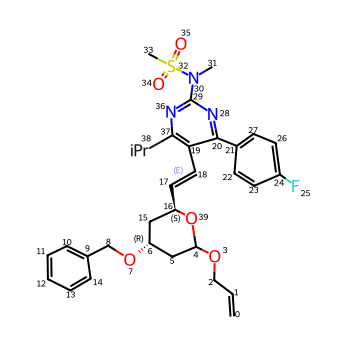 C=CCOC1C[C@H](OCc2ccccc2)C[C@@H](/C=C/c2c(-c3ccc(F)cc3)nc(N(C)S(C)(=O)=O)nc2C(C)C)O1